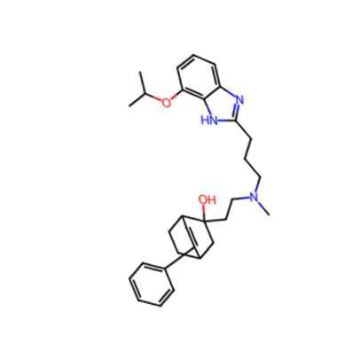 CC(C)Oc1cccc2nc(CCCN(C)CCC3(O)CC4CCC3C=C4c3ccccc3)[nH]c12